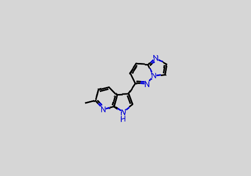 Cc1ccc2c(-c3ccc4nccn4n3)c[nH]c2n1